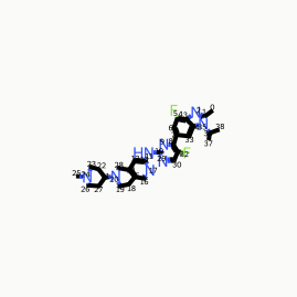 Cc1nc2c(F)cc(-c3nc(Nc4cc5c(cn4)CCN(C4CCN(C)CC4)C5)ncc3F)cc2n1C(C)C